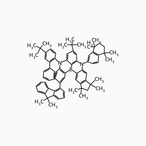 CC(C)(C)c1ccc(N2c3ccc(-c4cccc5c4-c4ccccc4C5(C)C)cc3B3c4cc5c(cc4N(c4ccc6c(c4)C(C)(C)CCC6(C)C)c4cc(C(C)(C)C)cc2c43)C(C)(C)CC5(C)C)c(-c2ccccc2)c1